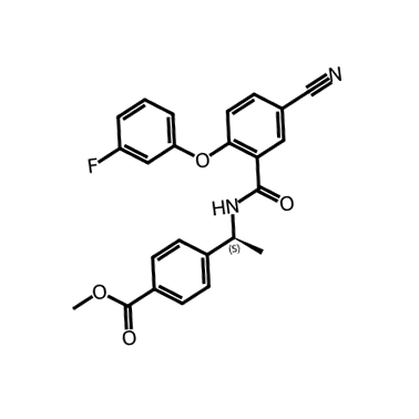 COC(=O)c1ccc([C@H](C)NC(=O)c2cc(C#N)ccc2Oc2cccc(F)c2)cc1